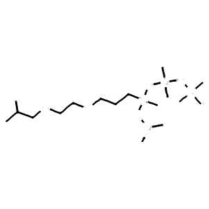 CC(O)COCCOCCC[Si](C)(O[SiH](C)C)O[Si](C)(C)O[Si](C)(C)C